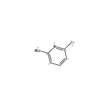 CCc1cccc(C(C)CC)n1